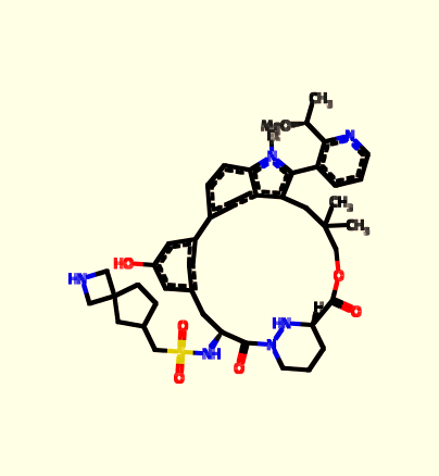 CCn1c(-c2cccnc2[C@H](C)OC)c2c3cc(ccc31)-c1cc(O)cc(c1)C[C@H](NS(=O)(=O)CC1CCC3(CNC3)C1)C(=O)N1CCC[C@H](N1)C(=O)OCC(C)(C)C2